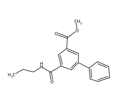 CCCNC(=O)c1cc(C(=O)OC)cc(-c2ccccc2)c1